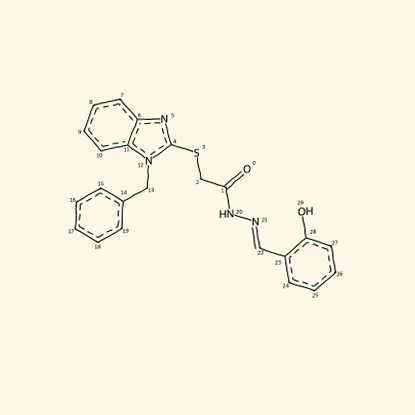 O=C(CSc1nc2ccccc2n1Cc1ccccc1)N/N=C/c1ccccc1O